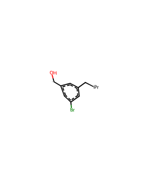 CC(C)Cc1cc(Br)cc([CH]O)c1